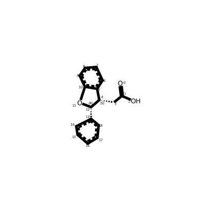 O=C(O)C[C@H]1c2ccccc2O[C@H]1c1ccccc1